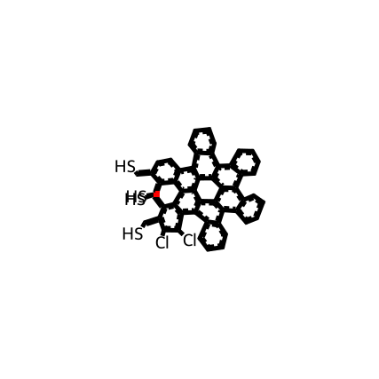 SC=c1ccc2c(c1=CS)c1c3c(=CS)c(=CS)c(Cl)c(Cl)c3c3c4ccccc4c4c5ccccc5c5c6ccccc6c6c7ccccc7c2c2c6c5c4c3c12